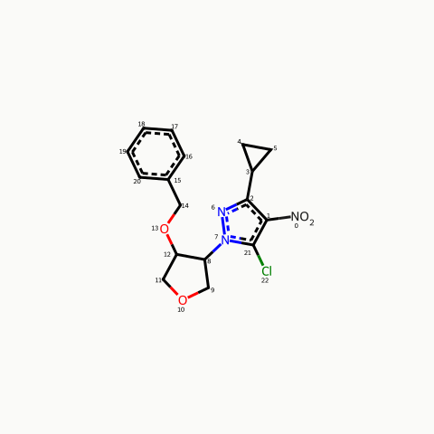 O=[N+]([O-])c1c(C2CC2)nn(C2COCC2OCc2ccccc2)c1Cl